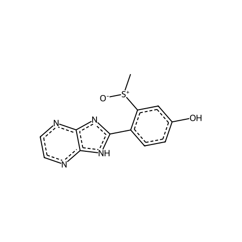 C[S+]([O-])c1cc(O)ccc1-c1nc2nccnc2[nH]1